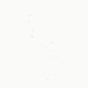 O=P(O)(O)Cc1ccc(C[n+]2ccc(-c3ccc(-c4cc[n+](Cc5ccc(CP(=O)(O)O)cc5)cc4)c4nccnc34)cc2)cc1